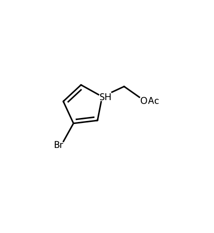 CC(=O)OC[SH]1C=CC(Br)=C1